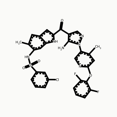 Cc1cc2cc(C(=O)c3cnn(-c4cnc(Oc5c(F)cccc5F)cc4C)c3N)[nH]c2cc1NS(=O)(=O)c1cccc(Cl)c1